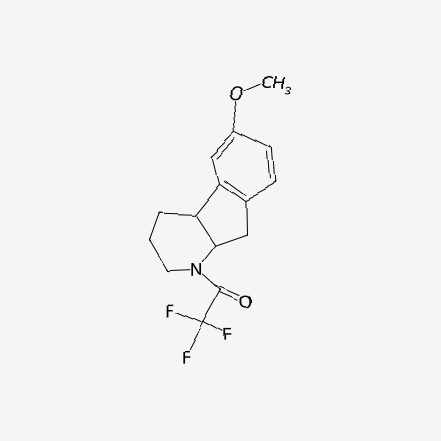 COc1ccc2c(c1)C1CCCN(C(=O)C(F)(F)F)C1C2